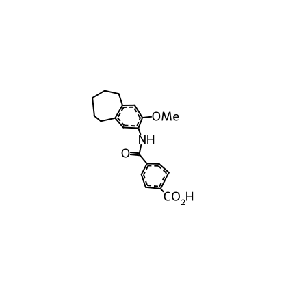 COc1cc2c(cc1NC(=O)c1ccc(C(=O)O)cc1)CCCCC2